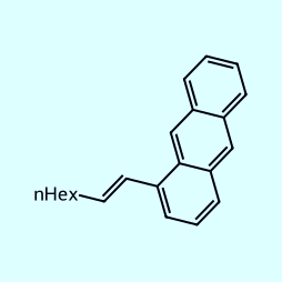 CCCCCCC=Cc1cccc2cc3ccccc3cc12